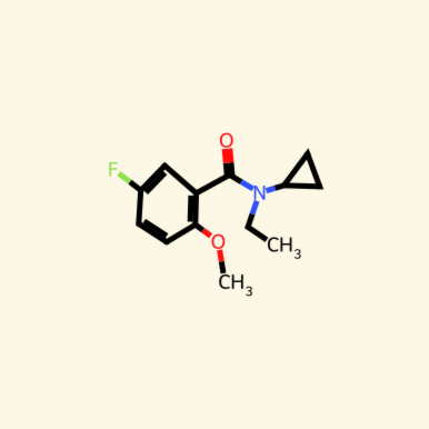 CCN(C(=O)c1cc(F)ccc1OC)C1CC1